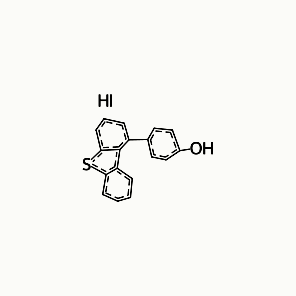 I.Oc1ccc(-c2cccc3sc4ccccc4c23)cc1